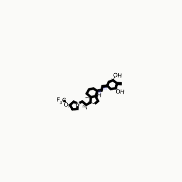 C=C1[C@H](O)C/C(=C\C=C2/CCC[C@]3(C)[C@@H]([C@H](C)CN4CC[C@H](OC(F)(F)F)C4)CC[C@@H]23)C[C@@H]1O